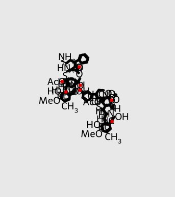 CCN1CC2(O)Cc3cc(C)c(OC)c(O)c3[C@H]1[C@@H]1[C@@H]3SC[C@]4(NCCc5c4oc4ccc(C6Oc7c(C)c(OC(C)=O)c8c(c7O6)[C@@H]6COC(=O)[C@]7(CS[C@H]8[C@H]8[C@@H]9c%10c(cc(C)c(OC)c%10O)CC(O)(CN9CC)N86)N[C@@H](CN)Cc6c7oc7ccccc67)cc54)C(=O)OC[C@@H](c4c5c(c(C)c(OC(C)=O)c43)OCO5)N12